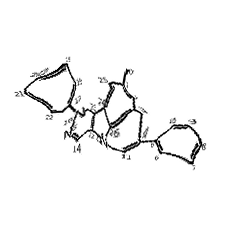 Cc1cc2c(-c3ccccc3)cn3c4cnn(-c5ccccc5)c4c(c1)c23